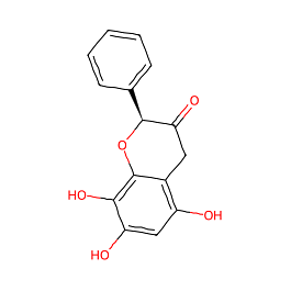 O=C1Cc2c(O)cc(O)c(O)c2O[C@H]1c1ccccc1